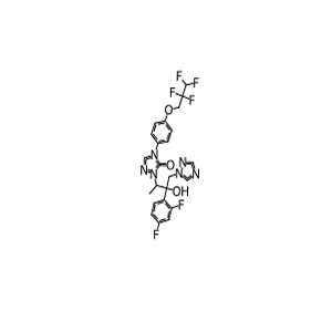 CC(n1ncn(-c2ccc(OCC(F)(F)C(F)F)cc2)c1=O)C(O)(Cn1cncn1)c1ccc(F)cc1F